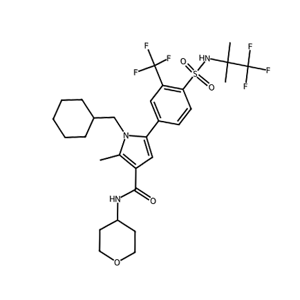 Cc1c(C(=O)NC2CCOCC2)cc(-c2ccc(S(=O)(=O)NC(C)(C)C(F)(F)F)c(C(F)(F)F)c2)n1CC1CCCCC1